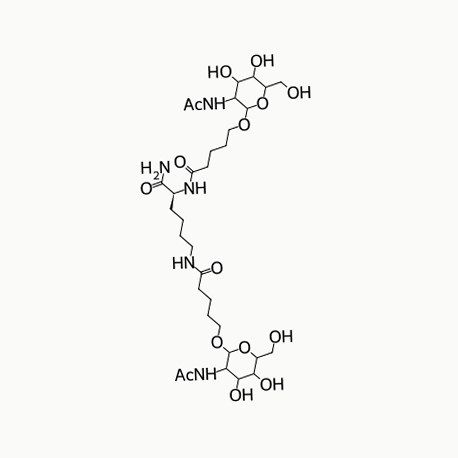 CC(=O)NC1C(OCCCCC(=O)NCCCC[C@H](NC(=O)CCCCOC2OC(CO)C(O)C(O)C2NC(C)=O)C(N)=O)OC(CO)C(O)C1O